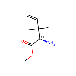 C=CC(C)(C)[C@@H](N)C(=O)OC